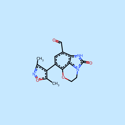 Cc1noc(C)c1-c1cc(C=O)c2[nH]c(=O)n3c2c1OCC3